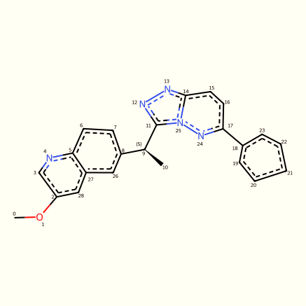 COc1cnc2ccc([C@H](C)c3nnc4ccc(-c5ccccc5)nn34)cc2c1